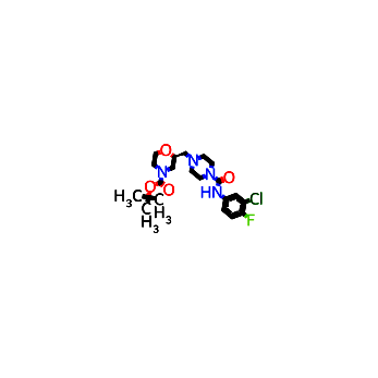 CC(C)(C)OC(=O)N1CCO[C@@H](CN2CCN(C(=O)Nc3ccc(F)c(Cl)c3)CC2)C1